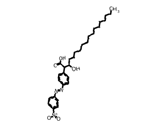 CCCCCCCCCCCCCCCC(O)C(C(=O)O)c1ccc(N=Nc2ccc([N+](=O)[O-])cc2)cc1